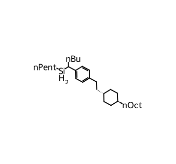 CCCCCCCC[C@H]1CC[C@H](CCc2ccc(C(CCCC)[SiH2]CCCCC)cc2)CC1